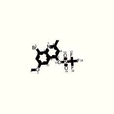 COc1cc(Br)c2nc(C)cc(OS(=O)(=O)C(F)(F)F)c2c1